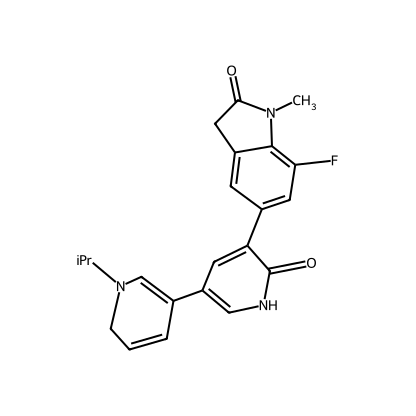 CC(C)N1C=C(c2c[nH]c(=O)c(-c3cc(F)c4c(c3)CC(=O)N4C)c2)C=CC1